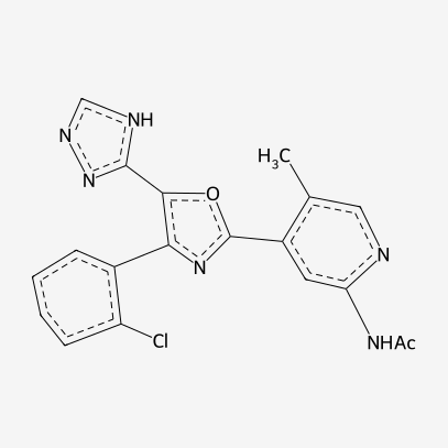 CC(=O)Nc1cc(-c2nc(-c3ccccc3Cl)c(-c3nnc[nH]3)o2)c(C)cn1